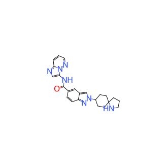 O=C(Nc1cnc2cccnn12)c1ccc2nn(C3CCC4(CCCN4)CC3)cc2c1